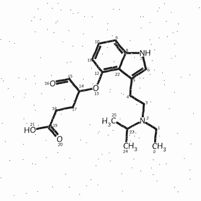 CCN(CCc1c[nH]c2cccc(OC(C=O)CCC(=O)O)c12)C(C)C